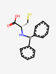 O=C(O)[C@H](CS)NB(c1cc[c]cc1)c1ccccc1